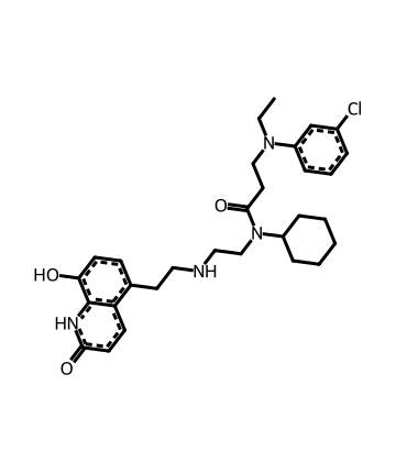 CCN(CCC(=O)N(CCNCCc1ccc(O)c2[nH]c(=O)ccc12)C1CCCCC1)c1cccc(Cl)c1